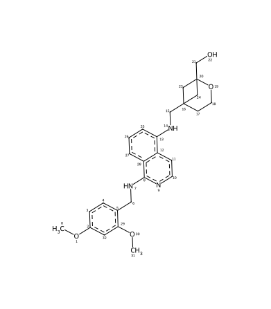 COc1ccc(CNc2nccc3c(NCC45CCOC(CO)(C4)C5)cccc23)c(OC)c1